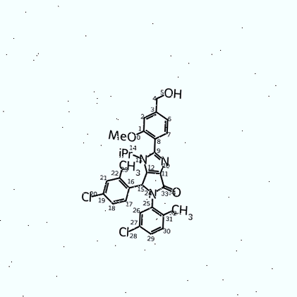 COc1cc(CO)ccc1-c1nc2c(n1C(C)C)C(c1ccc(Cl)cc1C)N(c1cc(Cl)ccc1C)C2=O